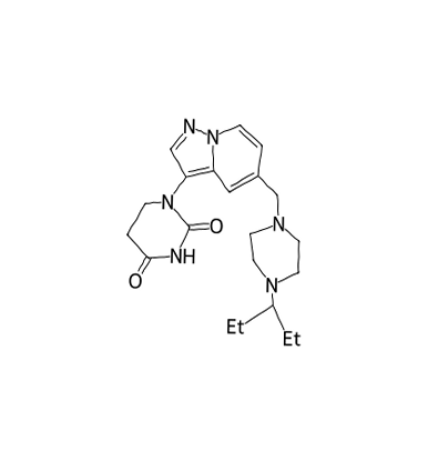 CCC(CC)N1CCN(Cc2ccn3ncc(N4CCC(=O)NC4=O)c3c2)CC1